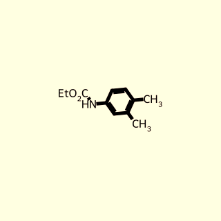 CCOC(=O)Nc1ccc(C)c(C)c1